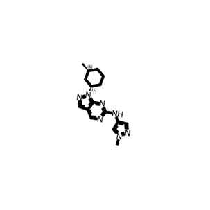 C[C@H]1CCC[C@H](n2ncc3cnc(Nc4cnn(C)c4)nc32)C1